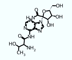 CC(O)C(N)C(=O)Nc1ncnc2c1ncn2[C@]1(C(N)=O)O[C@H](CO)[C@@H](O)[C@H]1O